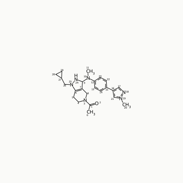 CC(=O)N1CCC2=C(C1)C(N(C)c1ccc(-c3cnn(C)c3)cc1)NN2CC1CC1